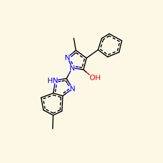 Cc1ccc2[nH]c(-n3nc(C)c(-c4ccccc4)c3O)nc2c1